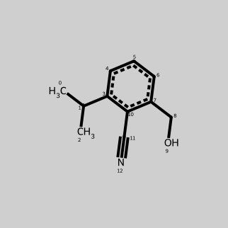 C[C](C)c1cccc(CO)c1C#N